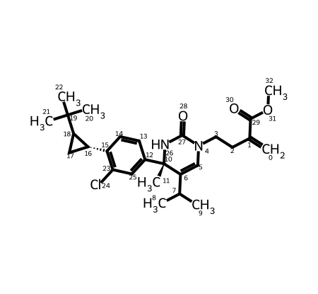 C=C(CCN1C=C(C(C)C)[C@](C)(c2ccc([C@@H]3CC3C(C)(C)C)c(Cl)c2)NC1=O)C(=O)OC